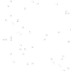 NN=Cc1ccc2cc(NC(=O)Nc3ccccc3)ccc2c1.O=C(O)C(F)(F)F